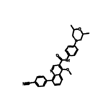 COc1c(C(=O)Nc2ccc(N3CC(C)OC(C)C3)cc2)cnc2c(-c3ccc(C#N)cc3)cccc12